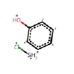 Oc1ccccc1.[SiH3]Cl